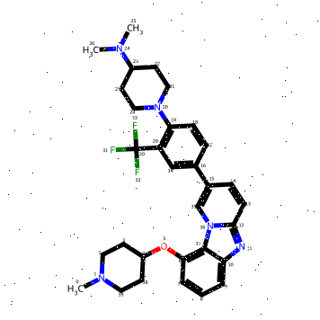 CN1CCC(Oc2cccc3nc4ccc(-c5ccc(N6CCC(N(C)C)CC6)c(C(F)(F)F)c5)cn4c23)CC1